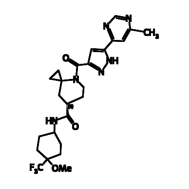 COC1(C(F)(F)F)CCC(NC(=O)[C@H]2CCN(C(=O)c3cc(-c4cc(C)ncn4)[nH]n3)C3(CC3)C2)CC1